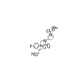 CC(C)(C)OC(=O)N1CCCC(N2CC[C@](CCCO)(c3ccc(F)cc3)OC2=O)C1